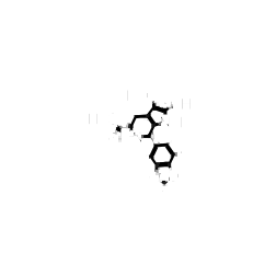 CC(=O)[C@H]1Cc2c([nH]c(C)c2C)[C@@H](c2ccc3c(c2)OCO3)N1